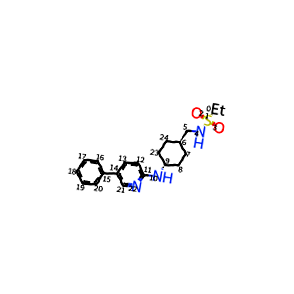 CCS(=O)(=O)NC[C@H]1CC[C@H](Nc2ccc(-c3ccccc3)cn2)CC1